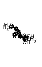 CCC(CC)c1ccc(CN(Cc2cccc(N(CC(=O)O)C(=O)OC(C)(C)C)n2)S(=O)(=O)c2cccnc2)cc1